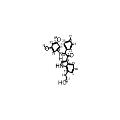 COc1cc(NC(C(=O)c2c[nH]c3c(CCO)cccc23)c2ccc(C)cc2)cc(OC)c1